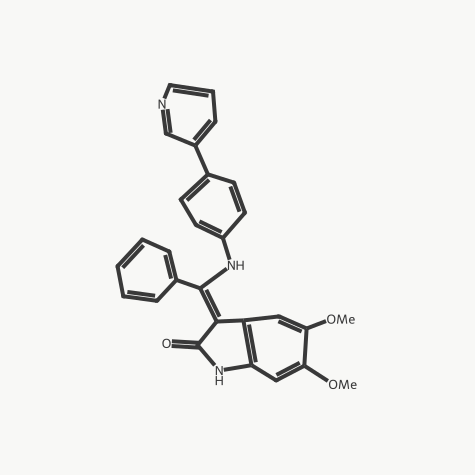 COc1cc2c(cc1OC)C(=C(Nc1ccc(-c3cccnc3)cc1)c1ccccc1)C(=O)N2